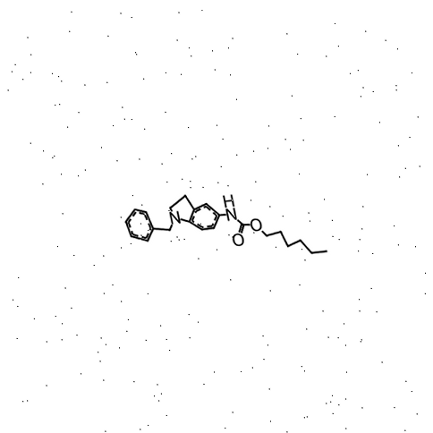 CCCCCCOC(=O)Nc1ccc2c(c1)CCN2Cc1ccccc1